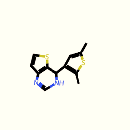 Cc1cc(C2NC=Nc3ccsc32)c(C)s1